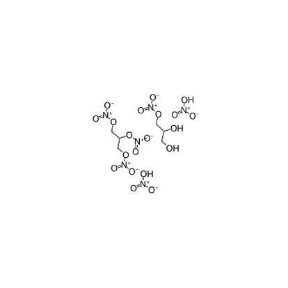 O=[N+]([O-])O.O=[N+]([O-])O.O=[N+]([O-])OCC(CO[N+](=O)[O-])O[N+](=O)[O-].O=[N+]([O-])OCC(O)CO